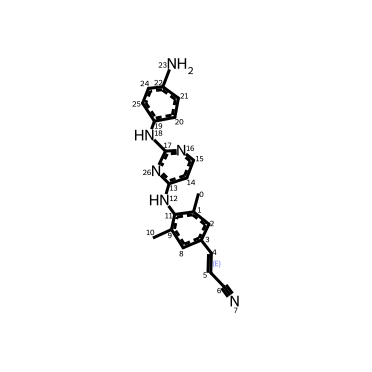 Cc1cc(/C=C/C#N)cc(C)c1Nc1ccnc(Nc2ccc(N)cc2)n1